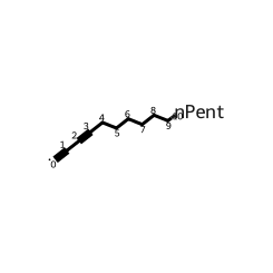 [C]#CC#CCCCCCCCCCCC